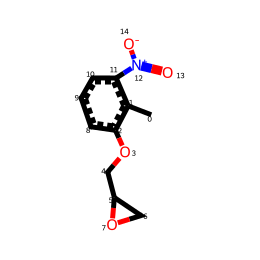 Cc1c(OCC2CO2)cccc1[N+](=O)[O-]